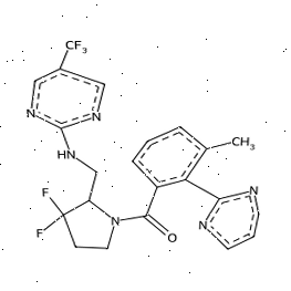 Cc1cccc(C(=O)N2CCC(F)(F)C2CNc2ncc(C(F)(F)F)cn2)c1-c1ncccn1